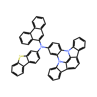 c1ccc2c(c1)cc(N(c1ccc3c(c1)sc1ccccc13)c1ccc3c(c1)n1c4ccccc4c4ccc5c6ccccc6n3c5c41)c1ccccc12